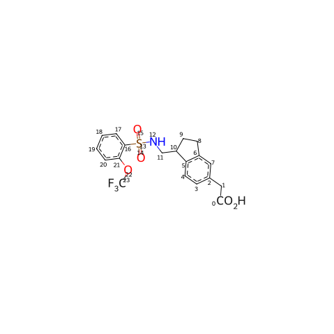 O=C(O)Cc1ccc2c(c1)CCC2CNS(=O)(=O)c1ccccc1OC(F)(F)F